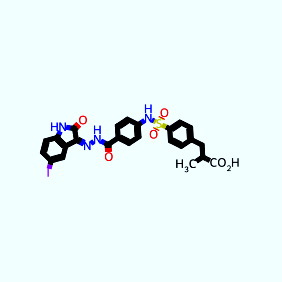 CC(Cc1ccc(S(=O)(=O)Nc2ccc(C(=O)N/N=C3\C(=O)Nc4ccc(I)cc43)cc2)cc1)C(=O)O